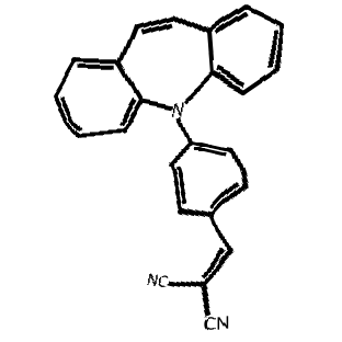 N#CC(C#N)=Cc1ccc(N2c3ccccc3C=Cc3ccccc32)cc1